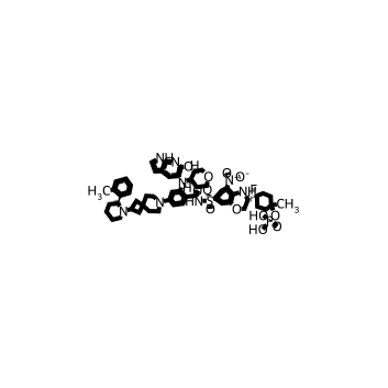 Cc1ccccc1[C@@H]1CCCCN1C1CC2(CCN(c3ccc(C(=O)NS(=O)(=O)c4cc5c(c([N+](=O)[O-])c4)N[C@H](C4(F)CCC(C)(OP(=O)(O)O)CC4)CO5)c(N4c5cc6cc[nH]c6nc5O[C@H]5COCC[C@@H]54)c3)CC2)C1